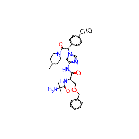 CC1CCN(C(=O)C(c2ccc(C=O)cc2)n2cnc(NC(=O)[C@@H](COCc3ccccc3)NC(=O)C(C)(C)N)c2)CC1